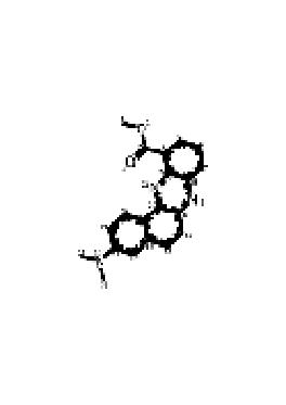 COC(=O)c1cccc2nc3ccc4cc(N(C)C)ccc4c3nc12